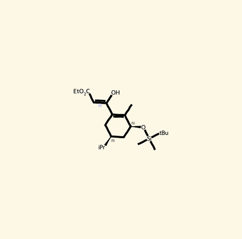 CCOC(=O)/C=C(\O)C1=C(C)[C@@H](O[Si](C)(C)C(C)(C)C)C[C@@H](C(C)C)C1